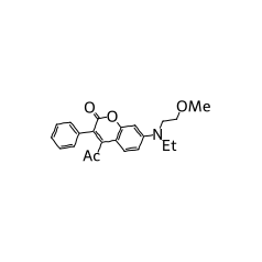 CCN(CCOC)c1ccc2c(C(C)=O)c(-c3ccccc3)c(=O)oc2c1